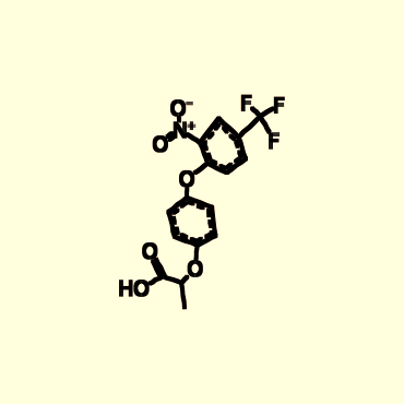 CC(Oc1ccc(Oc2ccc(C(F)(F)F)cc2[N+](=O)[O-])cc1)C(=O)O